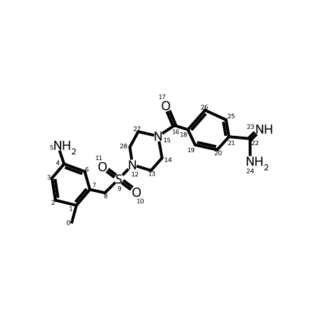 Cc1ccc(N)cc1CS(=O)(=O)N1CCN(C(=O)c2ccc(C(=N)N)cc2)CC1